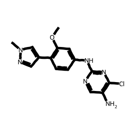 COc1cc(Nc2ncc(N)c(Cl)n2)ccc1-c1cnn(C)c1